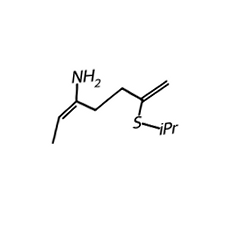 C=C(CC/C(N)=C\C)SC(C)C